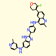 Cc1cc(Nc2ccc3nc(-c4ccc(Nc5cc(C)nc6ccc(C7=C(F)COCC7)cc56)cn4)[nH]c3c2)ccn1